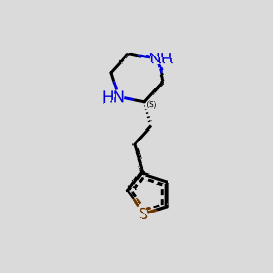 c1cc(CC[C@H]2CNCCN2)cs1